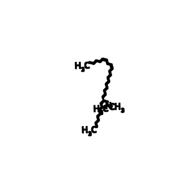 CCCCC/C=C\C/C=C\CCCCCCCCC[C@H](CCCCCCCCC)CN(C)C